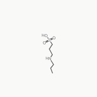 CCCNCCCS(=O)(=O)O